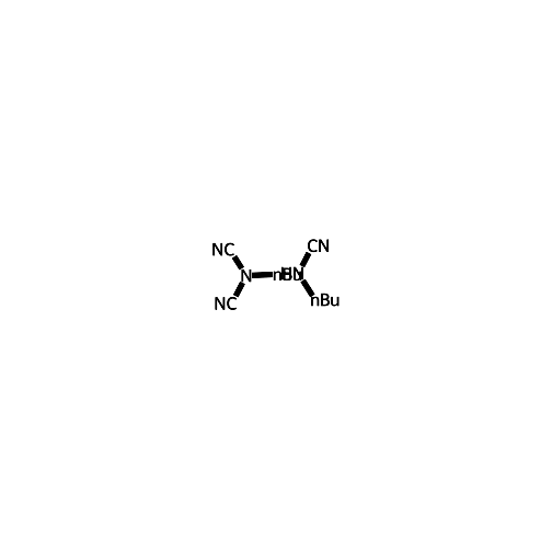 CCCCN(C#N)C#N.CCCCNC#N